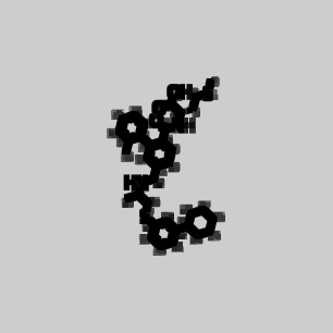 CSCC[C@H](NC(=O)c1ccc(CNC(C)CSc2cccc(C3CCCCC3)c2)cc1-c1ccccc1C)C(=O)O